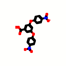 O=C(O)c1cc(Oc2ccc([N+](=O)[O-])cc2)cc(Oc2ccc([N+](=O)[O-])cc2)c1